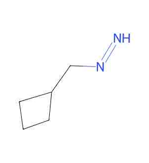 N=NCC1CCC1